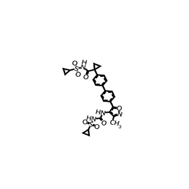 Cc1noc(-c2ccc(-c3ccc(C4(C(=O)NS(=O)(=O)C5CC5)CC4)cc3)cc2)c1NC(=O)NS(=O)(=O)C1CC1